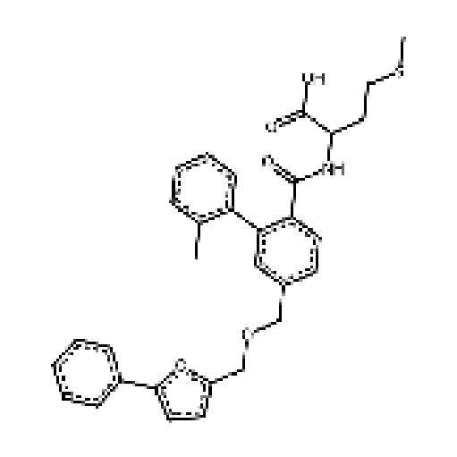 CSCCC(NC(=O)c1ccc(COCc2ccc(-c3ccccc3)o2)cc1-c1ccccc1C)C(=O)O